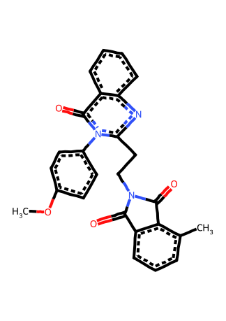 COc1ccc(-n2c(CCN3C(=O)c4cccc(C)c4C3=O)nc3ccccc3c2=O)cc1